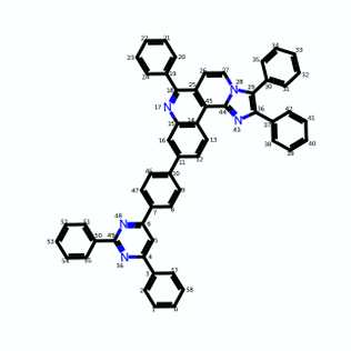 c1ccc(-c2cc(-c3ccc(-c4ccc5c(c4)nc(-c4ccccc4)c4ccn6c(-c7ccccc7)c(-c7ccccc7)nc6c45)cc3)nc(-c3ccccc3)n2)cc1